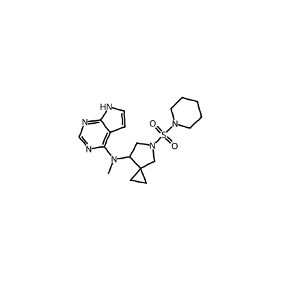 CN(c1ncnc2[nH]ccc12)C1CN(S(=O)(=O)N2CCCCC2)CC12CC2